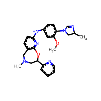 COc1cc(Nc2ccc3c(n2)OC(c2ccccn2)CN(C)C3)ccc1N1C=NC(C)C1